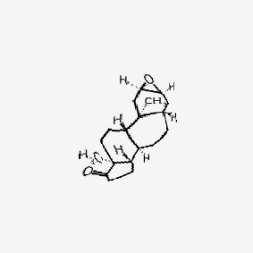 C[C@]12C[C@H]3O[C@H]3C[C@@H]1CC[C@@H]1[C@@H]2CC[C@]2(C)C(=O)CC[C@@H]12